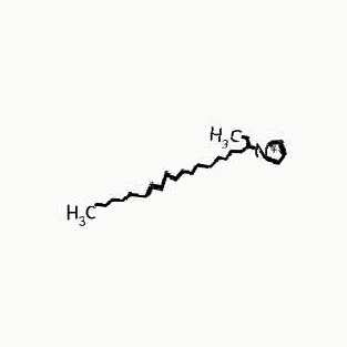 CCCCCCCCCCCCCCCCCCCC(CC)[n+]1ccccc1